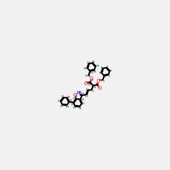 O=C(OCc1ccccc1)C(C/C=C/c1noc2c(-c3ccccc3)cccc12)C(=O)OCc1ccccc1